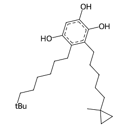 CC(C)(C)CCCCCCc1c(O)cc(O)c(O)c1CCCCCC1(C)CC1